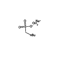 CCCCCS(=O)(=O)[O-].O.[Na+]